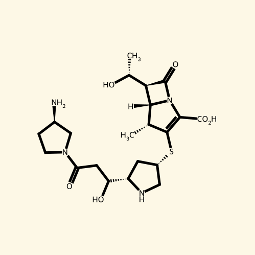 C[C@@H](O)[C@H]1C(=O)N2C(C(=O)O)=C(S[C@@H]3CN[C@H](C(O)CC(=O)N4CC[C@@H](N)C4)C3)[C@H](C)[C@H]12